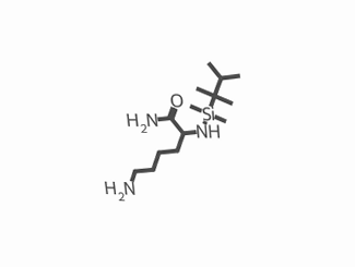 CC(C)C(C)(C)[Si](C)(C)NC(CCCCN)C(N)=O